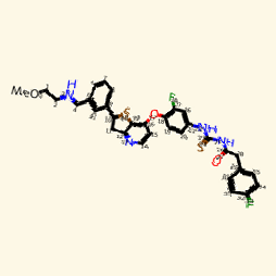 COCCNCc1cccc(C2Cc3nccc(Oc4ccc(NC(=S)NC(=O)Cc5ccc(F)cc5)cc4F)c3S2)c1